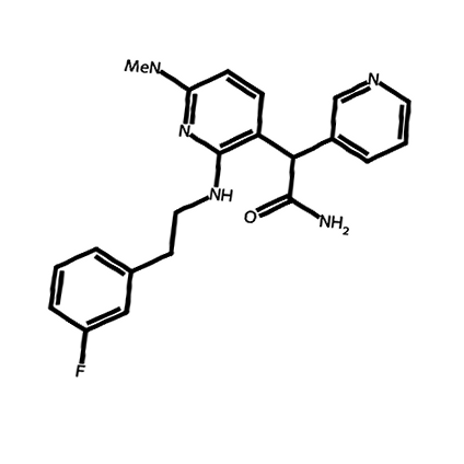 CNc1ccc(C(C(N)=O)c2cccnc2)c(NCCc2cccc(F)c2)n1